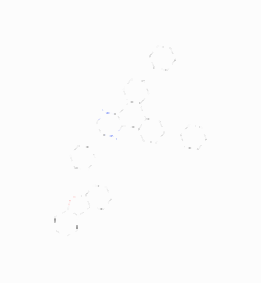 c1ccc(-c2ccc3c(c2)c2cc(-c4ccccc4)ccc2c2nc(-c4cccc(-c5cccc6c5oc5ccccc56)c4)cnc32)cc1